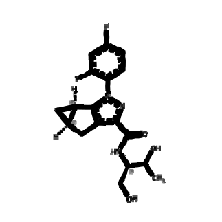 CC(O)[C@@H](CO)NC(=O)c1nn(-c2ccc(F)cc2F)c2c1C[C@H]1C[C@@H]21